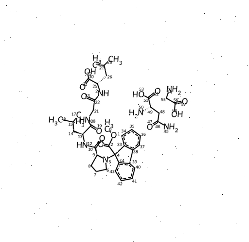 COC(=O)C1(N2CCC[C@H]2C(=O)N[C@@H](CC(C)C)C(=O)NCC(=O)N[C@@H](CC(C)C)C(=O)O)c2ccccc2-c2ccccc21.NC(=O)C[C@H](N)C(=O)O.NCC(=O)O